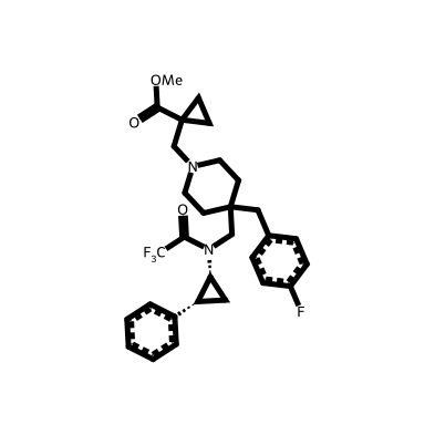 COC(=O)C1(CN2CCC(Cc3ccc(F)cc3)(CN(C(=O)C(F)(F)F)[C@@H]3C[C@@H]3c3ccccc3)CC2)CC1